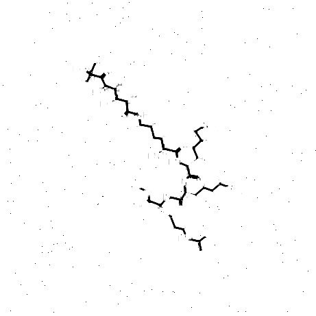 COC(=O)[C@H](CCCCNC(C)C)NC(=O)[C@H](CCCCN)NC(=O)[C@H](CCCCN)NC(=O)[C@@H](N)CCCCNC(=O)[C@@H](O)[C@H](O)[C@H](O)[C@@H](O)C(=O)C(C)(C)O